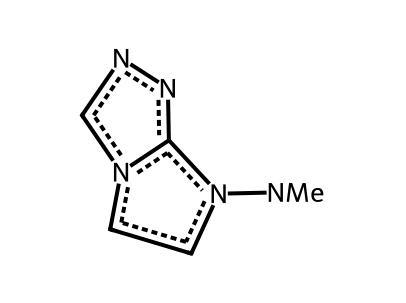 CNn1ccn2cnnc12